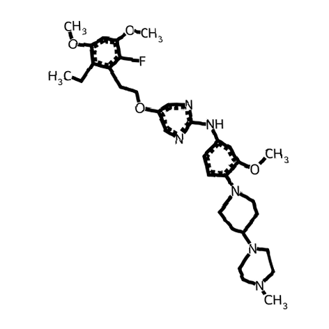 CCc1c(OC)cc(OC)c(F)c1CCOc1cnc(Nc2ccc(N3CCC(N4CCN(C)CC4)CC3)c(OC)c2)nc1